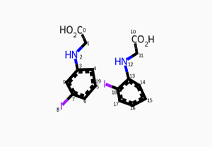 O=C(O)CNc1cccc(I)c1.O=C(O)CNc1ccccc1I